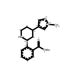 COC(=O)c1ccccc1[C@@H]1CC(c2cnn(C)c2)CCN1